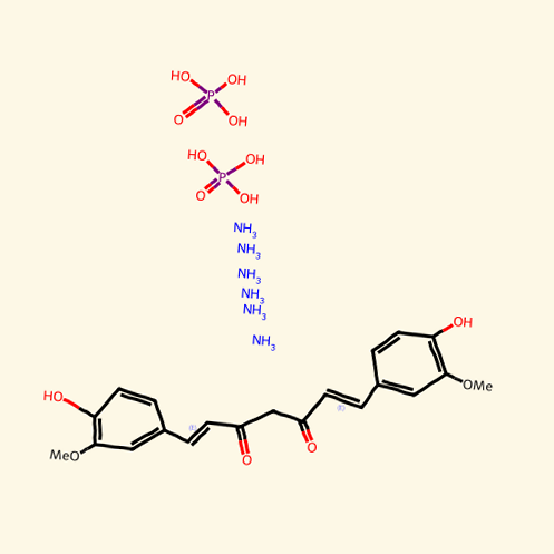 COc1cc(/C=C/C(=O)CC(=O)/C=C/c2ccc(O)c(OC)c2)ccc1O.N.N.N.N.N.N.O=P(O)(O)O.O=P(O)(O)O